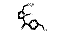 CC(C)Cc1ccc(C(=O)c2ccc(CC(=O)O)n2C)cc1